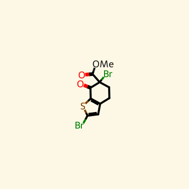 COC(=O)C1(Br)CCc2cc(Br)sc2C1=O